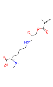 C=C(C)C(=O)OCC(O)CNCCCC[C@H](NC)C(=O)O